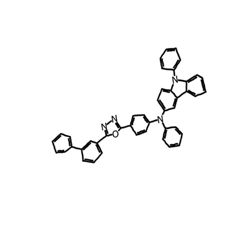 c1ccc(-c2cccc(-c3nnc(-c4ccc(N(c5ccccc5)c5ccc6c(c5)c5ccccc5n6-c5ccccc5)cc4)o3)c2)cc1